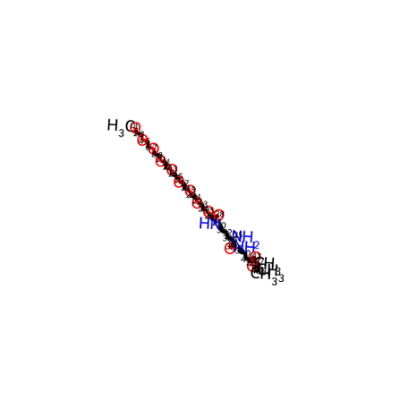 COCCOCCOCCOCCOCCOCCOCCOCCOCC(=O)NCCCC[C@H](N)C(=O)NCCCC(=O)OC(C)(C)C